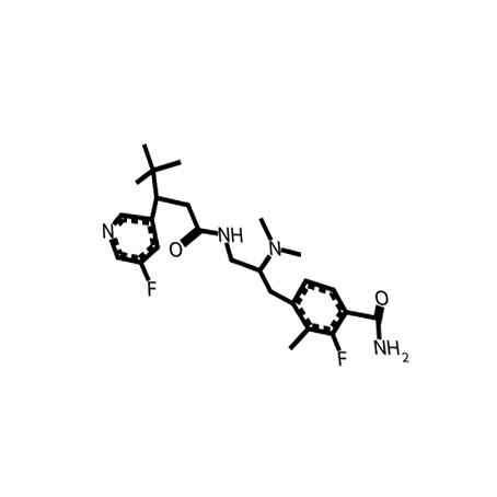 Cc1c(CC(CNC(=O)CC(c2cncc(F)c2)C(C)(C)C)N(C)C)ccc(C(N)=O)c1F